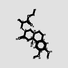 CCOC(=O)C(C)C[C@@H]1CN2CCc3cc(OC)c(OC)cc3[C@H]2CC1=O